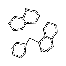 c1ccc(Cc2nccc3ccccc23)cc1.c1ccc2ncccc2c1